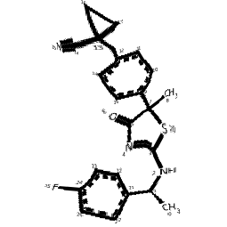 C[C@H](NC1=NC(=O)C(C)(c2ccc(C3(C#N)CC3)cc2)S1)c1ccc(F)cc1